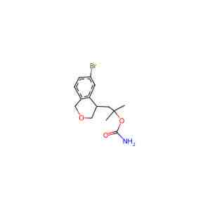 CC(C)(CC1COCc2ccc(Br)cc21)OC(N)=O